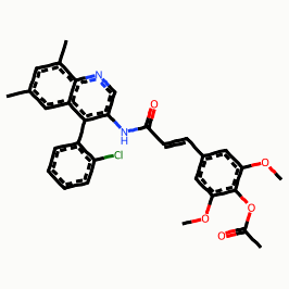 COc1cc(C=CC(=O)Nc2cnc3c(C)cc(C)cc3c2-c2ccccc2Cl)cc(OC)c1OC(C)=O